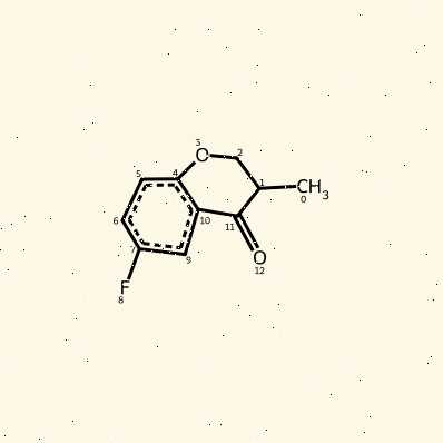 CC1COc2ccc(F)cc2C1=O